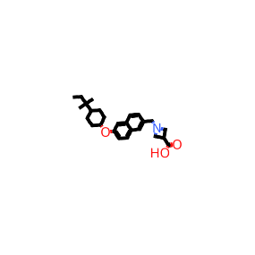 CCC(C)(C)C1CCC(Oc2ccc3cc(CN4CC(C(=O)O)C4)ccc3c2)CC1